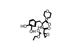 CCOC(=O)[C@@]1(C(=O)N[C@@H](Cc2ccc(O)c(O)c2)C(=O)N2CCOCC2)CO1